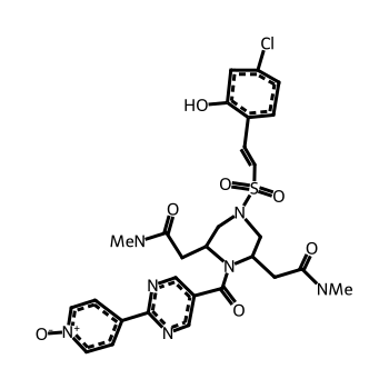 CNC(=O)CC1CN(S(=O)(=O)C=Cc2ccc(Cl)cc2O)CC(CC(=O)NC)N1C(=O)c1cnc(-c2cc[n+]([O-])cc2)nc1